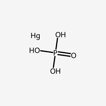 O=P(O)(O)O.[Hg]